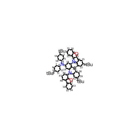 CC(C)(C)c1ccc(N(c2ccc(C(C)(C)C)cc2)c2cc3c4c(c2)-n2c5c(cc(C(C)(C)C)cc5c5oc6ccccc6c52)B4c2ccc(C(C)(C)C)cc2N3c2cccc3c2oc2ccccc23)cc1